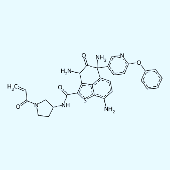 C=CC(=O)N1CCC(NC(=O)c2sc3c(N)ccc4c3c2C(N)C(=O)C4(N)c2ccc(Oc3ccccc3)nc2)C1